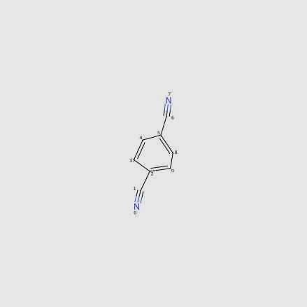 N#Cc1[c]cc(C#N)cc1